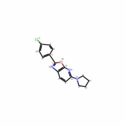 Clc1ccc(-c2nc3ccc(N4CCCC4)nc3o2)cc1